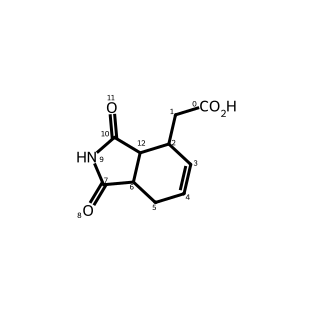 O=C(O)CC1C=CCC2C(=O)NC(=O)C12